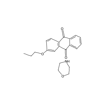 C1COCCN1.CCCOc1ccc2c(c1)C(=O)c1ccccc1C2=O